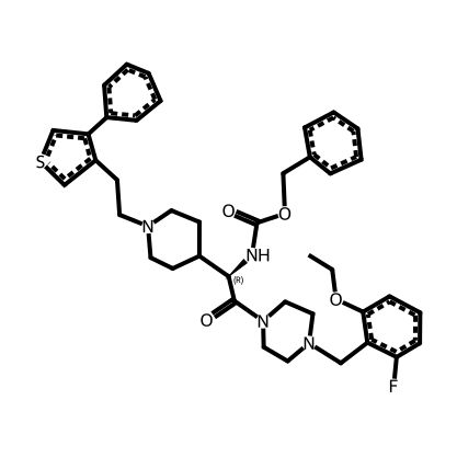 CCOc1cccc(F)c1CN1CCN(C(=O)[C@H](NC(=O)OCc2ccccc2)C2CCN(CCc3cscc3-c3ccccc3)CC2)CC1